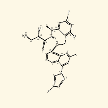 Cc1cc(-n2cc(F)cn2)c2cccc(OCc3c(Cl)cc(F)cc3[C@H](C)NC(=O)[C@H](O)CN)c2n1